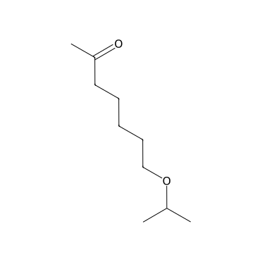 CC(=O)CCCCCOC(C)C